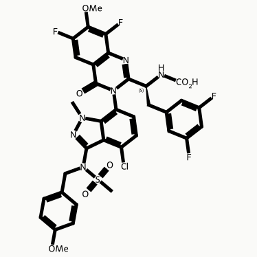 COc1ccc(CN(c2nn(C)c3c(-n4c([C@H](Cc5cc(F)cc(F)c5)NC(=O)O)nc5c(F)c(OC)c(F)cc5c4=O)ccc(Cl)c23)S(C)(=O)=O)cc1